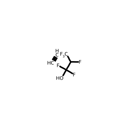 C#C.OC(F)(F)C(F)C(F)(F)F